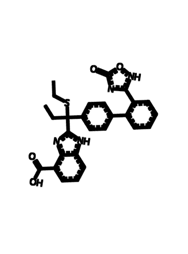 CCSC(CC)(c1ccc(-c2ccccc2-c2nc(=O)o[nH]2)cc1)c1nc2c(C(=O)O)cccc2[nH]1